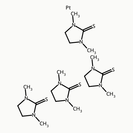 CN1CCN(C)C1=S.CN1CCN(C)C1=S.CN1CCN(C)C1=S.CN1CCN(C)C1=S.[Pt]